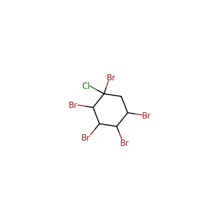 ClC1(Br)CC(Br)C(Br)C(Br)C1Br